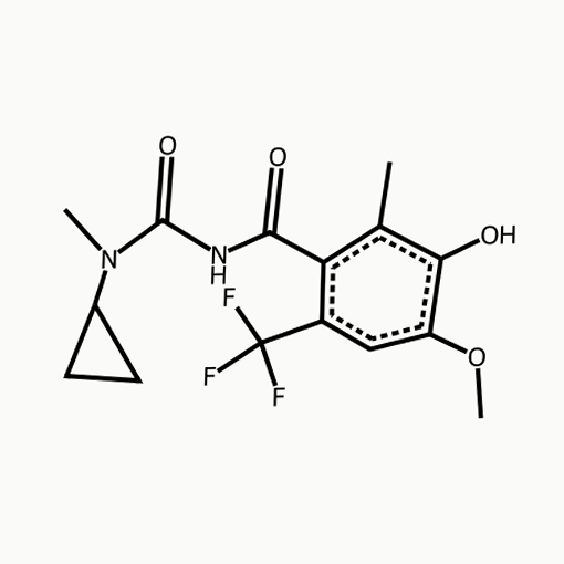 COc1cc(C(F)(F)F)c(C(=O)NC(=O)N(C)C2CC2)c(C)c1O